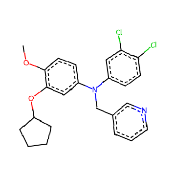 COc1ccc(N(Cc2cccnc2)c2ccc(Cl)c(Cl)c2)cc1OC1CCCC1